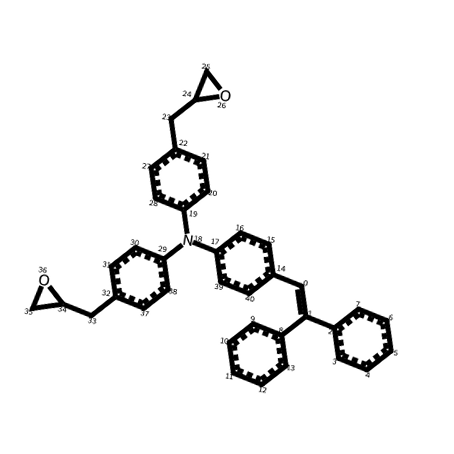 C(=C(c1ccccc1)c1ccccc1)c1ccc(N(c2ccc(CC3CO3)cc2)c2ccc(CC3CO3)cc2)cc1